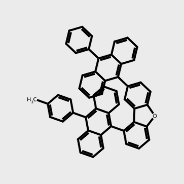 Cc1ccc(-c2c3ccccc3c(-c3cccc4oc5ccc(-c6c7ccccc7c(-c7ccccc7)c7ccccc67)cc5c34)c3ccccc23)cc1